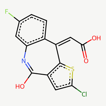 O=C(O)C=C1c2ccc(F)cc2N=C(O)c2cc(Cl)sc21